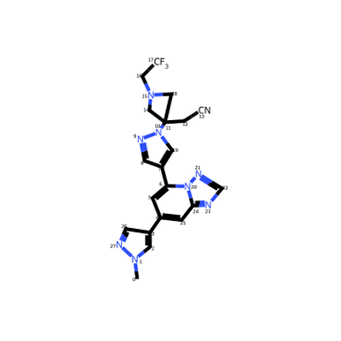 Cn1cc(-c2cc(-c3cnn(C4(CC#N)CN(CC(F)(F)F)C4)c3)n3ncnc3c2)cn1